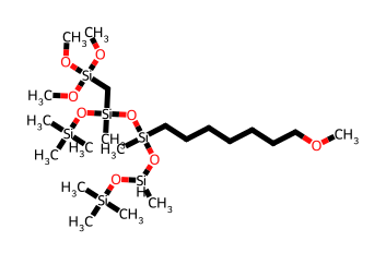 COCCCCCCC[Si](C)(O[SiH](C)O[Si](C)(C)C)O[Si](C)(C[Si](OC)(OC)OC)O[Si](C)(C)C